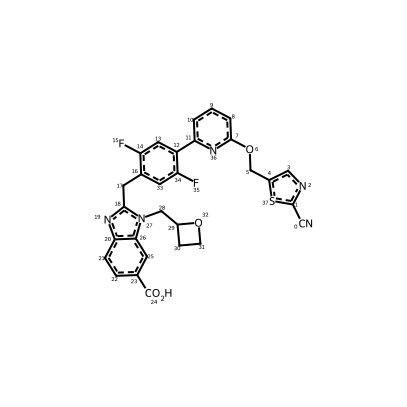 N#Cc1ncc(COc2cccc(-c3cc(F)c(Cc4nc5ccc(C(=O)O)cc5n4CC4CCO4)cc3F)n2)s1